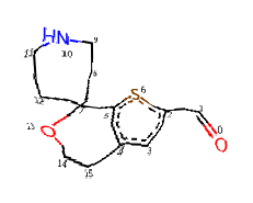 O=Cc1cc2c(s1)C1(CCNCC1)OCC2